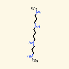 CC(C)(C)NCCCNCCCCNCCCNC(C)(C)C